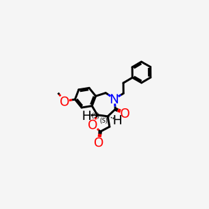 COc1ccc2c(c1)[C@H]1OC(=O)C[C@@H]1C(=O)N(CCc1ccccc1)C2